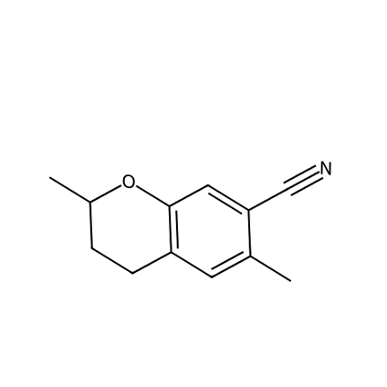 Cc1cc2c(cc1C#N)OC(C)CC2